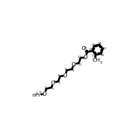 CCCOCCOCCOCCOCCOC(=O)c1ccccc1C